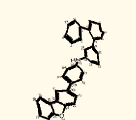 c1ccc(-c2ccccc2-c2cccc(Nc3ccc(-c4ccc5oc6ccccc6c5c4)cc3)c2)cc1